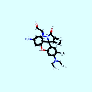 CCN(CC)c1cc2c(cc1C)C1(c3ccc(N)cc3O2)c2ccccc2C(=O)N1/N=C/C=O